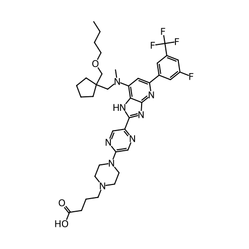 CCCCOCC1(CN(C)c2cc(-c3cc(F)cc(C(F)(F)F)c3)nc3nc(-c4cnc(N5CCN(CCCC(=O)O)CC5)cn4)[nH]c23)CCCC1